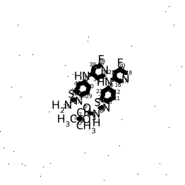 CC(C)(C)OC(=O)Nc1nc2ccc(Nc3cncc(F)c3)cc2s1.Nc1nc2ccc(Nc3ccnc(F)c3)cc2s1